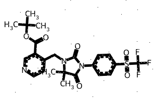 CC(C)(C)OC(=O)c1cnccc1CN1C(=O)N(c2ccc(S(=O)(=O)C(F)(F)F)cc2)C(=O)C1(C)C